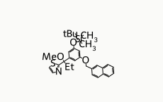 CCC(OC)(c1cc(OCc2ccc3ccccc3c2)cc(O[Si](C)(C)C(C)(C)C)c1)c1nccs1